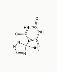 NC1(n2c(=O)[nH]c(=O)[nH]c2=O)N=CN=N1